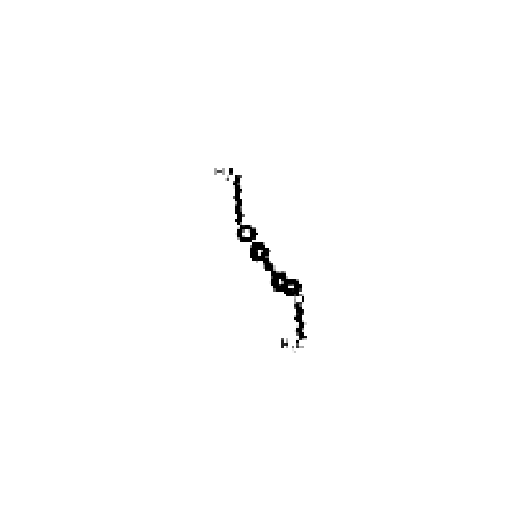 CCCCCCCCC[C@H]1CC[C@H](c2ccc(C#Cc3ccc4cc(OCCCCCCC)ccc4c3)cc2)CC1